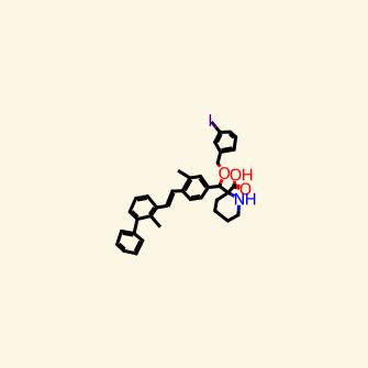 Cc1cc(C(OCc2cccc(I)c2)C2(C(=O)O)CCCCN2)ccc1C=Cc1cccc(-c2ccccc2)c1C